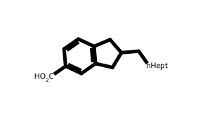 CCCCCCCCC1Cc2ccc(C(=O)O)cc2C1